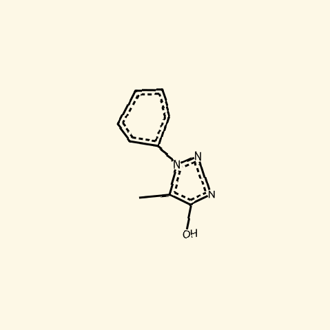 Cc1c(O)nnn1-c1ccccc1